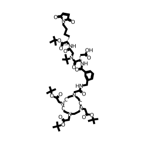 CC(C)(C)OC(=O)CN1CCN(CC(=O)NCc2cccc(C(=O)N[C@@H](CC(=O)O)C(=O)N(CC(=O)N[C@@H](CCCCN3C(=O)C=CC3=O)C(=O)OC(C)(C)C)C(C)(C)C)c2)CCN(CC(=O)OC(C)(C)C)CCN(CC(=O)OC(C)(C)C)CC1